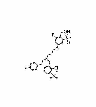 CS(=O)(=O)c1cc(OCCCN(CCc2ccc(F)cc2)Cc2cccc(C(F)(F)F)c2Cl)cc(F)c1CO